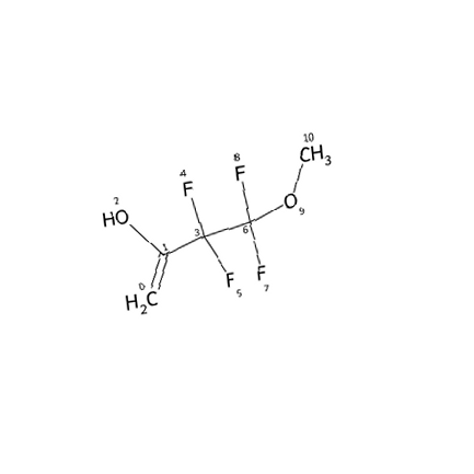 C=C(O)C(F)(F)C(F)(F)OC